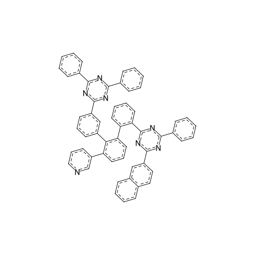 c1ccc(-c2nc(-c3ccccc3)nc(-c3cccc(-c4c(-c5cccnc5)cccc4-c4ccccc4-c4nc(-c5ccccc5)nc(-c5ccc6ccccc6c5)n4)c3)n2)cc1